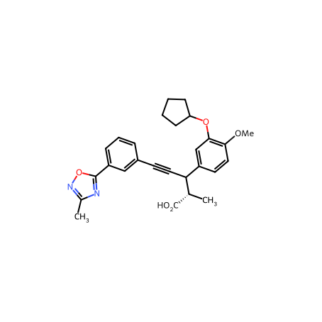 COc1ccc(C(C#Cc2cccc(-c3nc(C)no3)c2)[C@H](C)C(=O)O)cc1OC1CCCC1